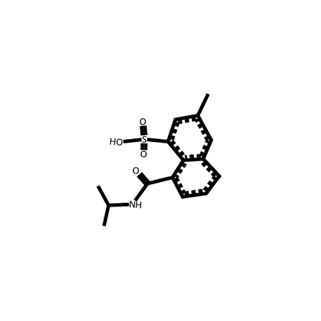 Cc1cc(S(=O)(=O)O)c2c(C(=O)NC(C)C)cccc2c1